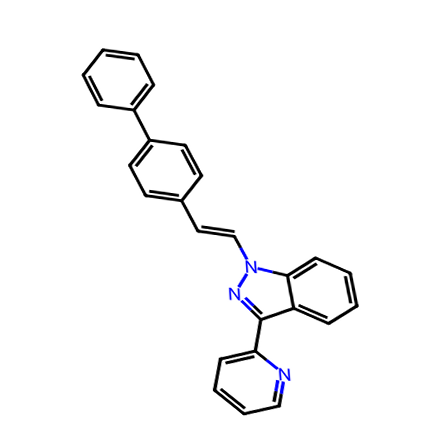 C(=Cn1nc(-c2ccccn2)c2ccccc21)c1ccc(-c2ccccc2)cc1